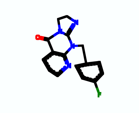 O=C1c2cccnc2N(Cc2ccc(F)cc2)C2=NCCN12